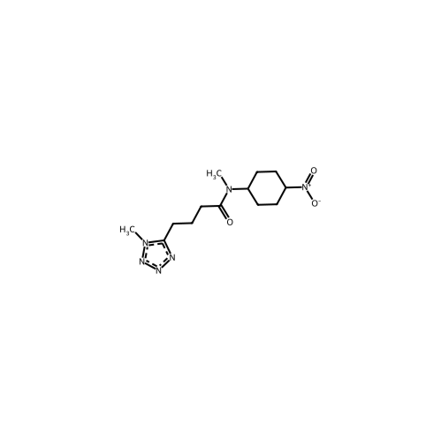 CN(C(=O)CCCc1nnnn1C)C1CCC([N+](=O)[O-])CC1